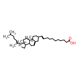 CC(C)CCC[C@@H](C)[C@H]1CCC2C3CC=C4CC(C=CCCCCCCCCC(=O)O)CC[C@]4(C)C3CC[C@@]21C